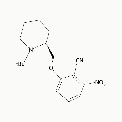 CC(C)(C)N1CCCC[C@H]1COc1cccc([N+](=O)[O-])c1C#N